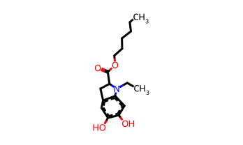 CCCCCCOC(=O)C1Cc2cc(O)c(O)cc2N1CC